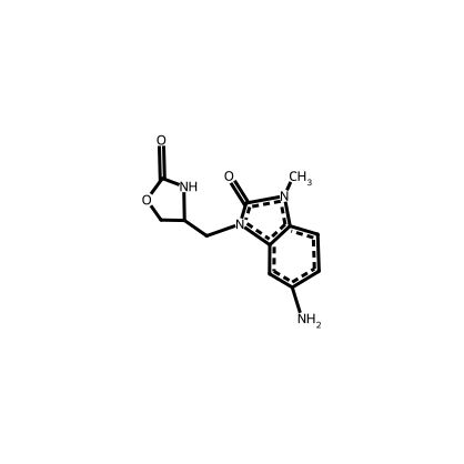 Cn1c(=O)n(CC2COC(=O)N2)c2cc(N)ccc21